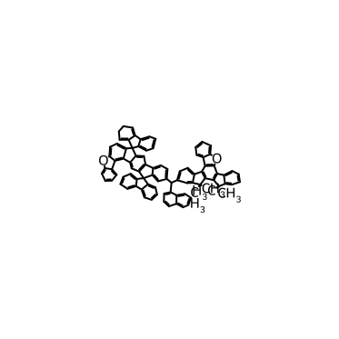 CC1(C)c2ccccc2-c2c1c1c(c3c2oc2ccccc23)-c2ccc(C(c3ccc4c(c3)C3(c5ccccc5-c5ccccc53)c3cc5c(cc3-4)C3(C4=CCCC=C4c4ccccc43)c3ccc4oc6ccccc6c4c3-5)c3cccc4ccccc34)cc2C1(C)C